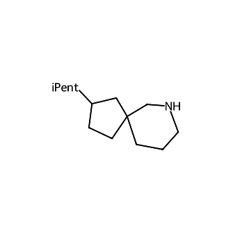 CCCC(C)C1CCC2(CCCNC2)C1